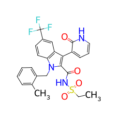 CCS(=O)(=O)NC(=O)c1c(-c2ccc[nH]c2=O)c2cc(C(F)(F)F)ccc2n1Cc1ccccc1C